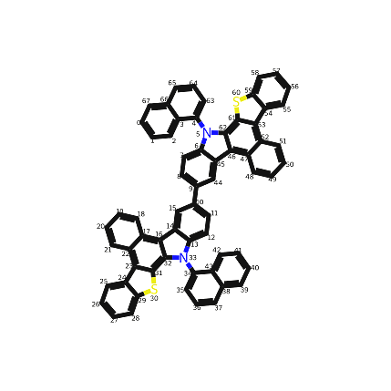 c1ccc2c(-n3c4ccc(-c5ccc6c(c5)c5c7ccccc7c7c8ccccc8sc7c5n6-c5cccc6ccccc56)cc4c4c5ccccc5c5c6ccccc6sc5c43)cccc2c1